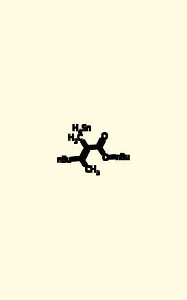 CCCCOC(=O)C(C)=C(C)CCCC.[SnH4]